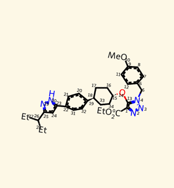 CCOC(=O)c1nnn(Cc2ccc(OC)cc2)c1O[C@H]1CC[C@H](c2ccc(-c3cc(C(CC)CC)n[nH]3)cc2)CC1